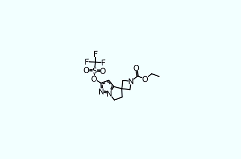 CCOC(=O)N1CC2(CCn3nc(OS(=O)(=O)C(F)(F)F)cc32)C1